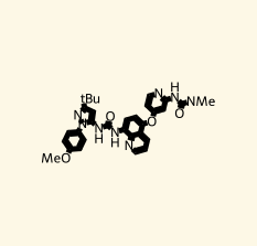 CNC(=O)Nc1cc(Oc2ccc(NC(=O)Nc3cc(C(C)(C)C)nn3-c3ccc(OC)cc3)c3ncccc23)ccn1